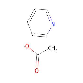 CC([O])=O.c1ccncc1